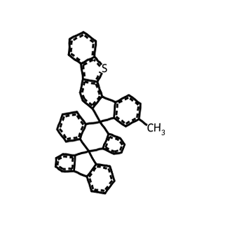 Cc1ccc2c(c1)C1(c3ccccc3C3(c4ccccc4-c4ccccc43)c3ccccc31)c1ccc3c(sc4ccccc43)c1-2